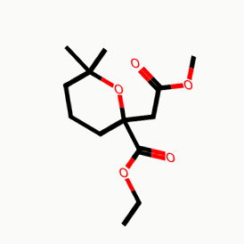 CCOC(=O)C1(CC(=O)OC)CCCC(C)(C)O1